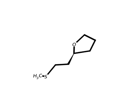 CSCC[C@@H]1CCCO1